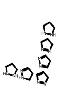 C1=CN=NC1.C1=NN=CC1.C1=NNCC1.C1CN=NC1.C1CNNC1.C1CNNC1